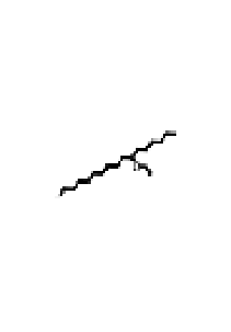 [CH2]CCCCCCC=CCC(CCCCCC)OCC